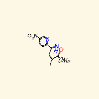 COC(=O)C(C)CC(=N)c1ccc([N+](=O)[O-])cn1